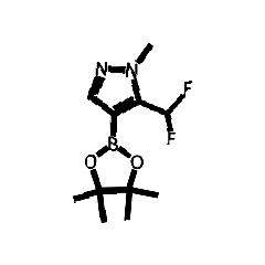 Cn1ncc(B2OC(C)(C)C(C)(C)O2)c1C(F)F